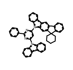 c1ccc(-c2nc(-n3c4ccccc4c4ccccc43)cc(-n3c4ccccc4c4cc5c(cc43)C3(CCCCC3)c3ccccc3-5)n2)cc1